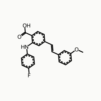 COc1cccc(C=Cc2ccc(C(=O)O)c(Nc3ccc(F)cc3)c2)c1